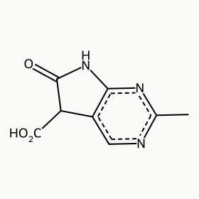 Cc1ncc2c(n1)NC(=O)C2C(=O)O